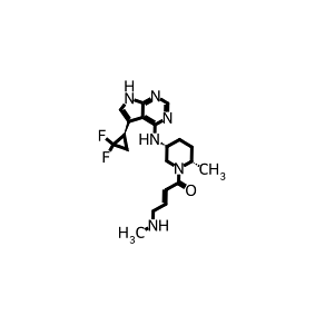 CNC/C=C/C(=O)N1C[C@H](Nc2ncnc3[nH]cc([C@H]4CC4(F)F)c23)CC[C@@H]1C